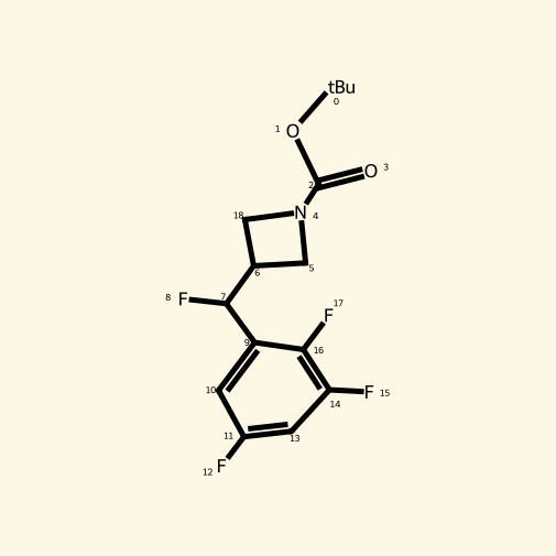 CC(C)(C)OC(=O)N1CC(C(F)c2cc(F)cc(F)c2F)C1